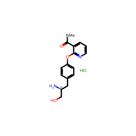 CNC(=O)c1cccnc1Oc1ccc(C[C@H](N)CO)cc1.Cl